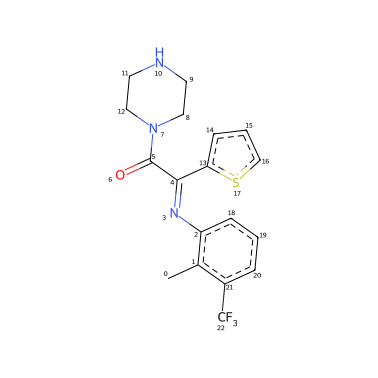 Cc1c(N=C(C(=O)N2CCNCC2)c2cccs2)cccc1C(F)(F)F